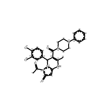 CC(=O)n1c(=O)cc2n1C(c1ccc(Cl)c(Cl)c1)C(C(=O)N1CCN(c3ccccc3)CC1)=C(C)N2